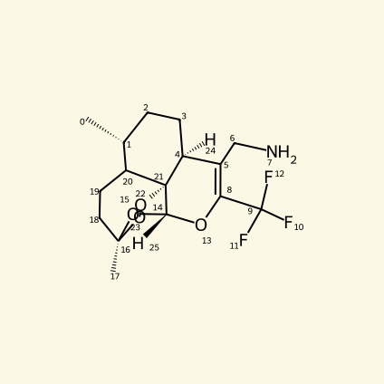 C[C@@H]1CC[C@H]2C(CN)=C(C(F)(F)F)O[C@@H]3O[C@]4(C)CCC1[C@]32OO4